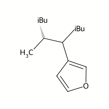 CCC(C)C(c1ccoc1)C(C)[C@@H](C)CC